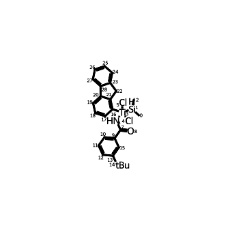 C[SiH](C)[Ti]([Cl])([Cl])([NH]C(=O)c1cccc(C(C)(C)C)c1)[c]1cccc2c1Cc1ccccc1-2